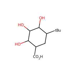 CC(C)(C)C1CC(C(=O)O)C(O)C(O)C1O